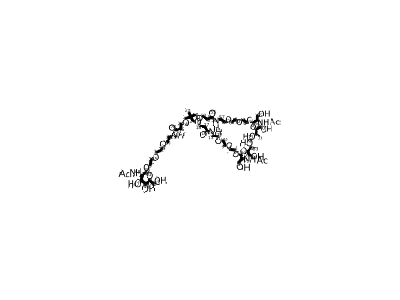 CC(=O)NC(CO)C(OCCOCCOCCNC(=O)CCOCC(C)(COCCC(=O)NCCOCCOCCOC1OC(CO)C(O)C(O)C1NC(C)=O)COCCC(=O)NCCOCCOCCOC(OC(CO)[C@@H](C)O)[C@H](CO)NC(C)=O)OC(CO)[C@@H](C)O